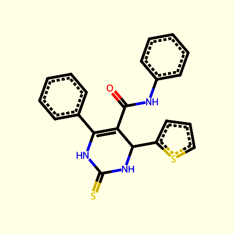 O=C(Nc1ccccc1)C1=C(c2ccccc2)NC(=S)NC1c1cccs1